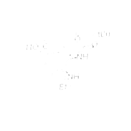 CCN[C@H]1CC[C@H](C(=O)O)C[C@H]1NC(=O)OC(C)(C)C